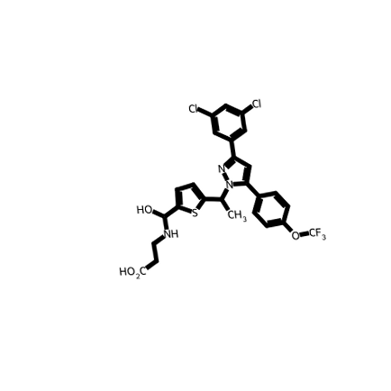 CC(c1ccc(C(O)NCCC(=O)O)s1)n1nc(-c2cc(Cl)cc(Cl)c2)cc1-c1ccc(OC(F)(F)F)cc1